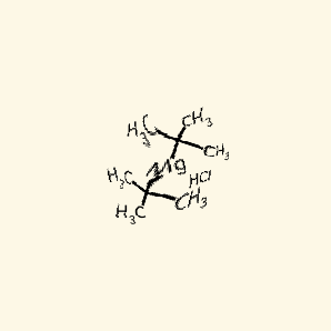 C[C](C)(C)[Mg][C](C)(C)C.Cl